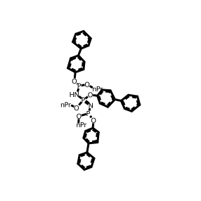 CCCOP(N=P(NP(OCCC)Oc1ccc(-c2ccccc2)cc1)(OCCC)Oc1ccc(-c2ccccc2)cc1)Oc1ccc(-c2ccccc2)cc1